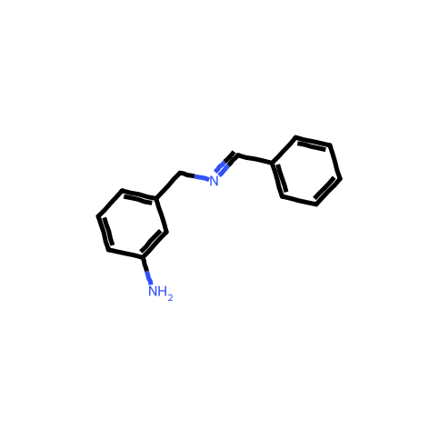 Nc1cccc(C/N=C/c2ccccc2)c1